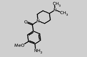 COc1cc(C(=O)N2CCC(N(C)C)CC2)ccc1N